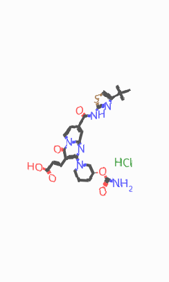 CC(C)(C)c1csc(NC(=O)c2ccn3c(=O)c(C=CC(=O)O)c(N4CCC[C@@H](OC(N)=O)C4)nc3c2)n1.Cl